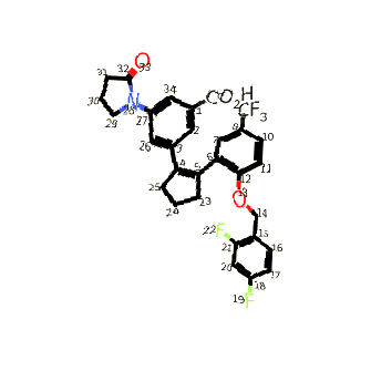 O=C(O)c1cc(C2=C(c3cc(C(F)(F)F)ccc3OCc3ccc(F)cc3F)CCC2)cc(N2CCCC2=O)c1